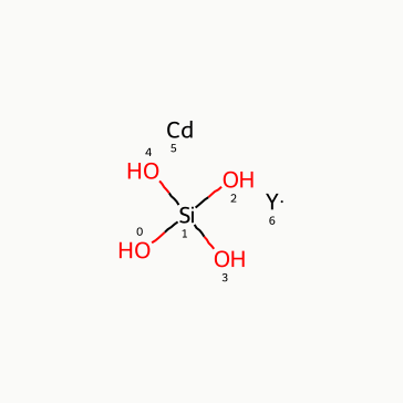 O[Si](O)(O)O.[Cd].[Y]